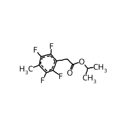 Cc1c(F)c(F)c(CC(=O)OC(C)C)c(F)c1F